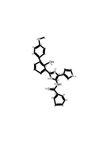 COc1ccc(-c2cccc(-c3nc(-c4ccsc4)c(NC(=O)c4ccccc4)o3)c2O)cc1